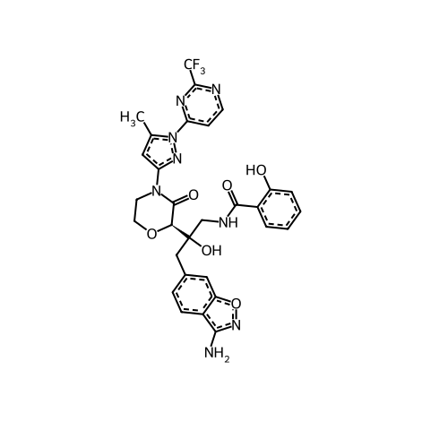 Cc1cc(N2CCO[C@H](C(O)(CNC(=O)c3ccccc3O)Cc3ccc4c(N)noc4c3)C2=O)nn1-c1ccnc(C(F)(F)F)n1